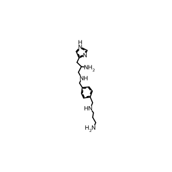 NCCCNCc1ccc(CNCC(N)Cc2c[nH]cn2)cc1